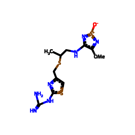 COc1n[s+]([O-])nc1NCC(C)SCc1csc(NC(=N)N)n1